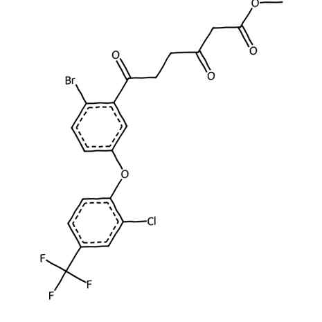 COC(=O)CC(=O)CCC(=O)c1cc(Oc2ccc(C(F)(F)F)cc2Cl)ccc1Br